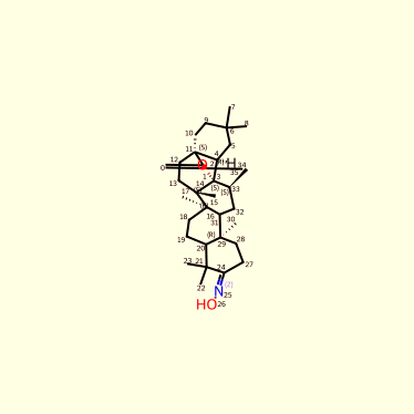 C=C1O[C@@]23[C@@H]4CC(C)(C)CC[C@@]14CC[C@@]2(C)[C@]1(C)CCC2C(C)(C)/C(=N\O)CC[C@]2(C)C1C[C@@H]3C